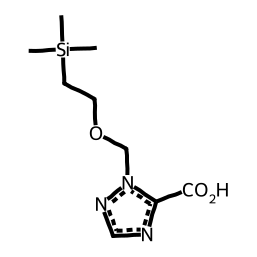 C[Si](C)(C)CCOCn1ncnc1C(=O)O